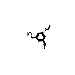 CCOc1cc(C=O)cc(CO)c1